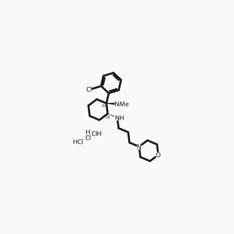 CN[C@]1(c2ccccc2Cl)CCCC[C@H]1NCCCN1CCOCC1.Cl.Cl.Cl